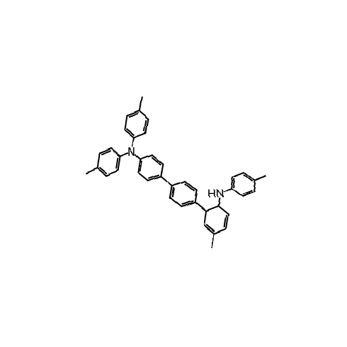 CC1=CC(c2ccc(-c3ccc(N(c4ccc(C)cc4)c4ccc(C)cc4)cc3)cc2)C(Nc2ccc(C)cc2)C=C1